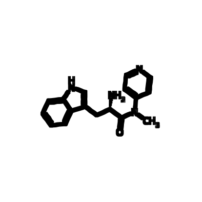 CN(C(=O)[C@@H](N)Cc1c[nH]c2ccccc12)c1ccncc1